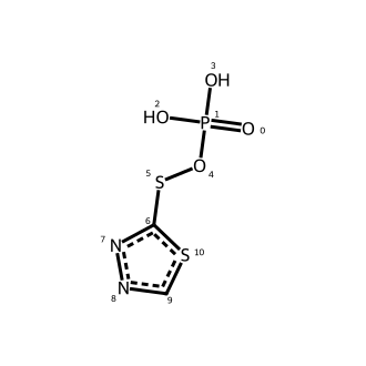 O=P(O)(O)OSc1nncs1